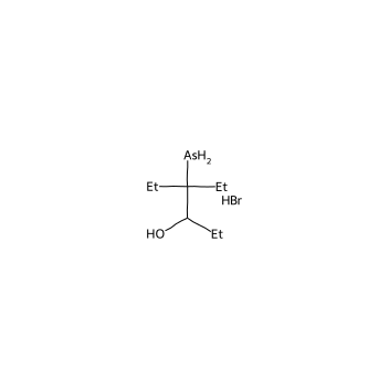 Br.CCC(O)C([AsH2])(CC)CC